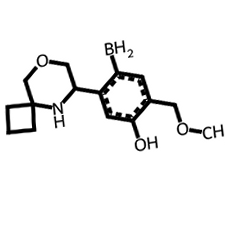 Bc1cc(COC)c(O)cc1C1COCC2(CCC2)N1